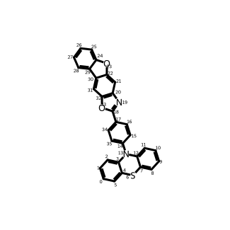 c1ccc2c(c1)Sc1ccccc1N2c1ccc(-c2nc3cc4oc5ccccc5c4cc3o2)cc1